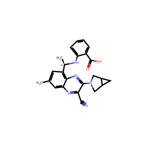 Cc1cc([C@@H](C)Nc2ccccc2C(=O)O)c2nc(N3CC4CC4C3)c(C#N)nc2c1